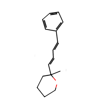 [H+].[SiH3]C1(C=CC=Cc2ccccc2)CCCCO1